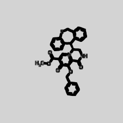 COC(=O)c1cn2c(c(OCc3ccccc3)c1=O)C(=O)NC[C@@H]2C1c2ccccc2CSc2ccccc21